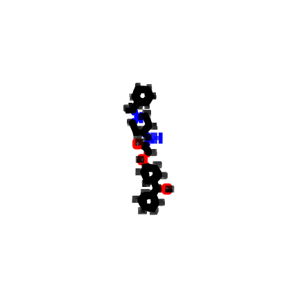 CC(c1ccccc1)N1CCC(NC(=O)COc2ccc(C(=O)c3ccccc3)cc2)CC1